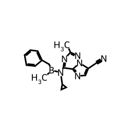 CB(Cc1ccccc1)N(c1nc(C)nn2c(C#N)cnc12)C1CC1